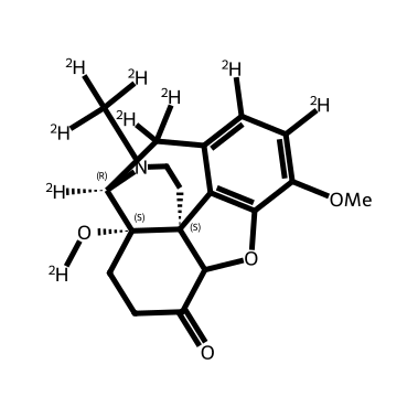 [2H]O[C@@]12CCC(=O)C3Oc4c(OC)c([2H])c([2H])c5c4[C@@]31CCN(C([2H])([2H])[2H])[C@]2([2H])C5([2H])[2H]